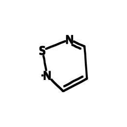 C1=C[N]SN=C1